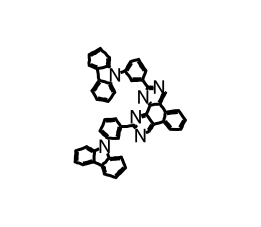 c1cc(-c2ncc3c4ccccc4c4cnc(-c5cccc(-n6c7ccccc7c7ccccc76)c5)nc4c3n2)cc(-n2c3ccccc3c3ccccc32)c1